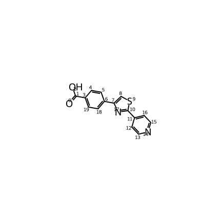 O=C(O)c1ccc(-c2csc(-c3ccncc3)n2)cc1